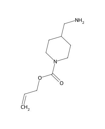 C=CCOC(=O)N1CCC(CN)CC1